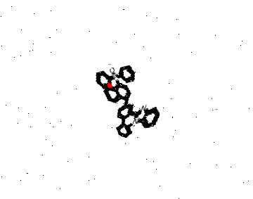 O=P(c1ccccc1)(c1ccccc1)c1ccc(-c2ccc3c4ccccc4n4c5ccccc5nc4c3c2)c2ccccc12